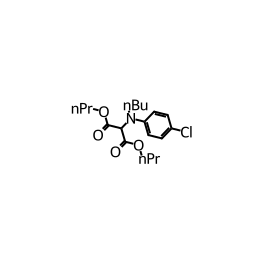 CCCCN(c1ccc(Cl)cc1)C(C(=O)OCCC)C(=O)OCCC